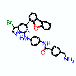 NCc1ccc(C(=O)Nc2ccc(Nc3nc(-c4cccc5c4oc4ccccc45)cc4c(Br)cnn34)cc2)cc1